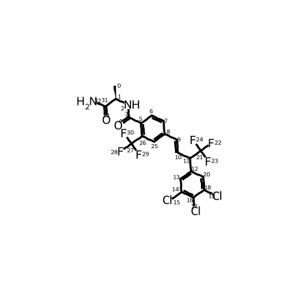 C[C@@H](NC(=O)c1ccc(C=CC(c2cc(Cl)c(Cl)c(Cl)c2)C(F)(F)F)cc1C(F)(F)F)C(N)=O